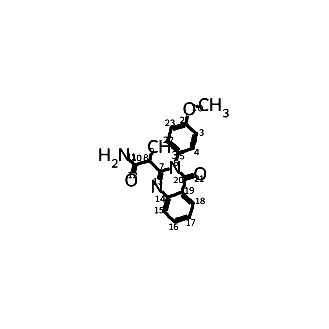 COc1ccc(-n2c(C(C)C(N)=O)nc3ccccc3c2=O)cc1